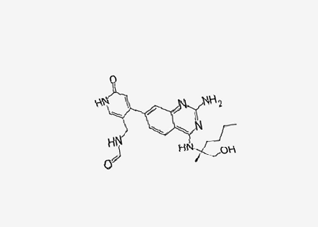 CCCC[C@](C)(CO)Nc1nc(N)nc2cc(-c3cc(=O)[nH]cc3CNC=O)ccc12